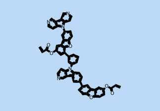 C=CC(=O)Oc1ccc2oc3ccc(-c4ccc5c(c4)c4cnccc4n5-c4cccc(-c5cc(OC(=O)C=C)cc6c5oc5ccc(-n7c8ccncc8c8cnccc87)cc56)c4)cc3c2c1